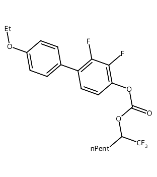 CCCCCC(OC(=O)Oc1ccc(-c2ccc(OCC)cc2)c(F)c1F)C(F)(F)F